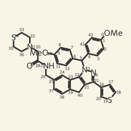 COc1ccc(C(c2ccc(OC)cc2)n2nc(-c3ccsc3)c3c2-c2cc(CNC(=O)CN4CCSCC4)ccc2C3)cc1